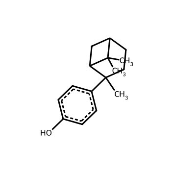 CC1(c2ccc(O)cc2)CCC2CC1C2(C)C